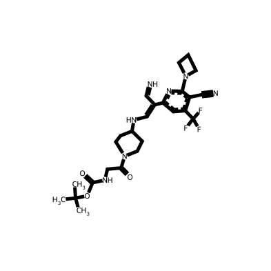 CC(C)(C)OC(=O)NCC(=O)N1CCC(N/C=C(\C=N)c2cc(C(F)(F)F)c(C#N)c(N3CCC3)n2)CC1